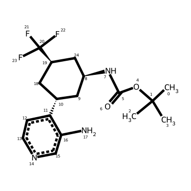 CC(C)(C)OC(=O)N[C@H]1C[C@H](c2ccncc2N)C[C@@H](C(F)(F)F)C1